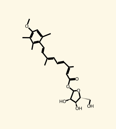 COc1cc(C)c(C=CC(C)=CC=CC(C)=CC(=O)OC2O[C@H](CO)[C@@H](O)[C@H]2O)c(C)c1C